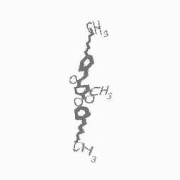 CCCCCCCc1ccc(CC(=O)C2CCC(C(=O)Oc3ccc(CCCCCCC)cc3)[C@H](C)C2)cc1